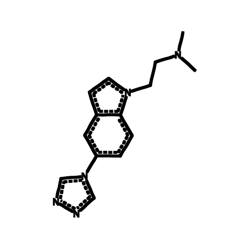 CN(C)CCn1ccc2cc(-n3cnnc3)ccc21